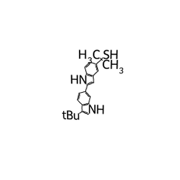 CC(C)(C)c1c[nH]c2cc(-c3cc4cc(C(C)(C)S)ccc4[nH]3)ccc12